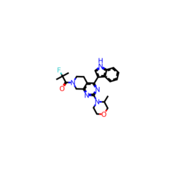 CC1COCCN1c1nc2c(c(-c3c[nH]c4ccccc34)n1)CCN(C(=O)C(C)(C)F)C2